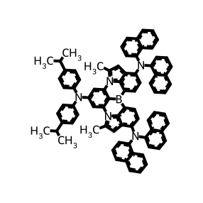 Cc1cc2c(N(c3cccc4ccccc34)c3cccc4ccccc34)ccc3c2n1-c1cc(N(c2ccc(C(C)C)cc2)c2ccc(C(C)C)cc2)cc2c1B3c1ccc(N(c3cccc4ccccc34)c3cccc4ccccc34)c3cc(C)n-2c13